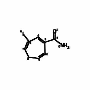 NC(=O)C1=CC(I)=CCC=C1